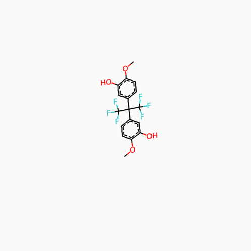 COc1ccc(C(c2ccc(OC)c(O)c2)(C(F)(F)F)C(F)(F)F)cc1O